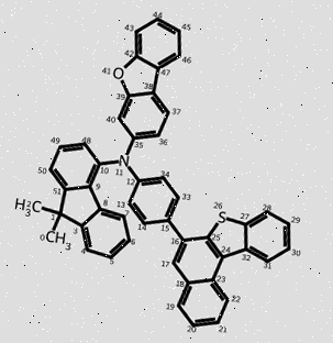 CC1(C)c2ccccc2-c2c(N(c3ccc(-c4cc5ccccc5c5c4sc4ccccc45)cc3)c3ccc4c(c3)oc3ccccc34)cccc21